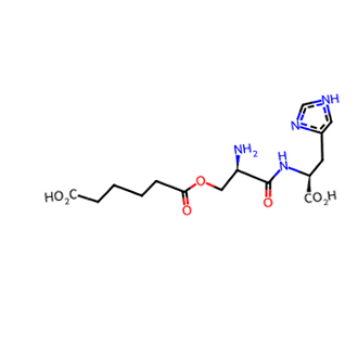 N[C@H](COC(=O)CCCCC(=O)O)C(=O)N[C@@H](Cc1c[nH]cn1)C(=O)O